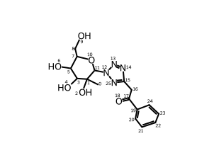 CC1(O)C(O)C(O)C(CO)OC1n1nnc(CC(=O)c2ccccc2)n1